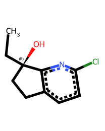 CC[C@@]1(O)CCc2ccc(Cl)nc21